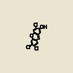 Oc1cc2c(cc1Cl)Oc1cc(Cl)c(Cl)cc1S2